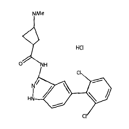 CNC1CC(C(=O)Nc2n[nH]c3ccc(-c4c(Cl)cccc4Cl)cc23)C1.Cl